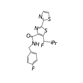 CC(C)C(F)c1sc(-c2nccs2)nc1C(=O)NCc1ccc(F)cc1